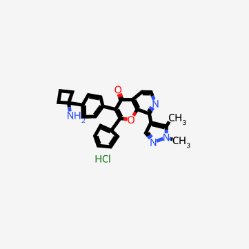 Cc1c(-c2nccc3c(=O)c(-c4ccc(C5(N)CCC5)cc4)c(-c4ccccc4)oc23)cnn1C.Cl